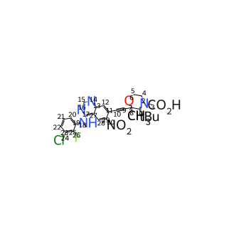 CC(C)(C)C1N(C(=O)O)CCOC1(C)C#Cc1cc2ncnc(Nc3cccc(Cl)c3F)c2cc1[N+](=O)[O-]